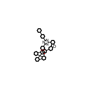 c1ccc(-c2ccc(-c3nc(-c4ccccc4)nc(-c4cccc5oc6ccc(-c7cccc(-c8cccc9c8C8(c%10ccccc%10-c%10ccccc%108)c8ccccc8-9)c7)cc6c45)n3)cc2)cc1